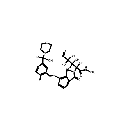 CNC(=O)C(O)(N1Cc2c(NCc3cc(C(O)(O)N4CCOCC4)ccc3F)cccc2C1=O)C(O)(O)C(O)(O)C=O